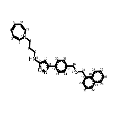 C1=CC=CN(CCCNc2cc(-c3ccc(CSCc4cccc5ccccc45)cc3)no2)C=C1